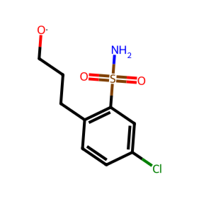 NS(=O)(=O)c1cc(Cl)ccc1CCC[O]